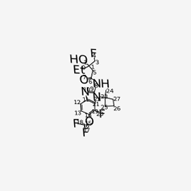 CCC(O)(CF)CC(=O)Nc1nc2ccc(OC(F)F)c(F)c2n1C1(C)CCC1